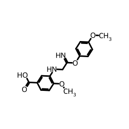 COc1ccc(OC(=N)CNc2cc(C(=O)O)ccc2OC)cc1